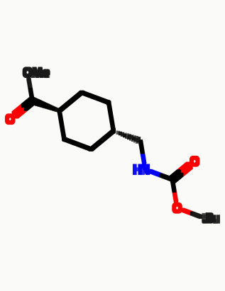 COC(=O)[C@H]1CC[C@H](CNC(=O)OC(C)(C)C)CC1